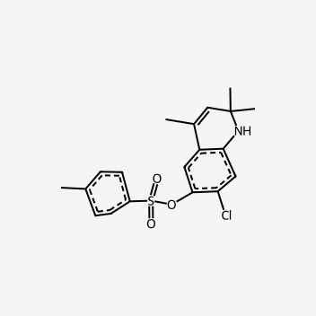 CC1=CC(C)(C)Nc2cc(Cl)c(OS(=O)(=O)c3ccc(C)cc3)cc21